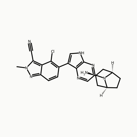 Cn1nc2ccc(-c3c[nH]c4nc(N5[C@@H]6CC[C@H]5C[C@@H](N)C6)cnc34)c(Cl)c2c1C#N